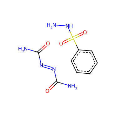 NC(=O)N=NC(N)=O.NNS(=O)(=O)c1ccccc1